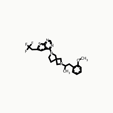 COc1ccccc1CC(C)N1CC2(CCN(c3ncnc4sc(CC(F)(F)F)cc34)C2)C1